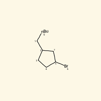 [CH2]CCCCC1CCC(Br)C1